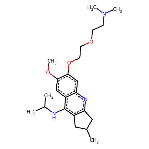 COc1cc2c(NC(C)C)c3c(nc2cc1OCCOCCN(C)C)CC(C)C3